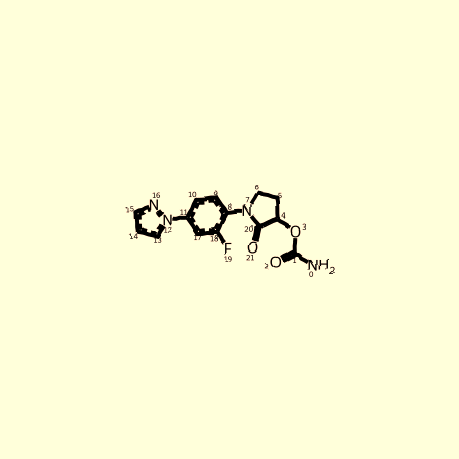 NC(=O)OC1CCN(c2ccc(-n3cccn3)cc2F)C1=O